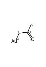 CC(=O)[CH2][Au]